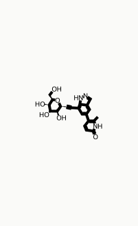 Cc1[nH]c(=O)ccc1-c1cc(C#C[C@H]2O[C@H](CO)[C@@H](O)[C@H](O)[C@@H]2O)c2[nH]ncc2c1